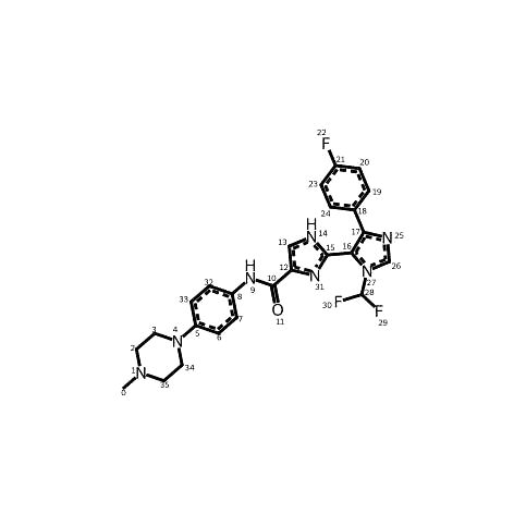 CN1CCN(c2ccc(NC(=O)c3c[nH]c(-c4c(-c5ccc(F)cc5)ncn4C(F)F)n3)cc2)CC1